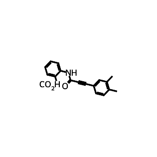 Cc1ccc(C#CC(=O)Nc2ccccc2C(=O)O)cc1C